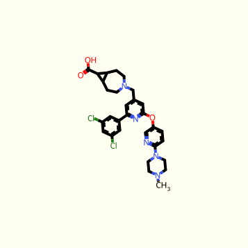 CN1CCN(c2ccc(Oc3cc(CN4CCC5C(CC4)C5C(=O)O)cc(-c4cc(Cl)cc(Cl)c4)n3)cn2)CC1